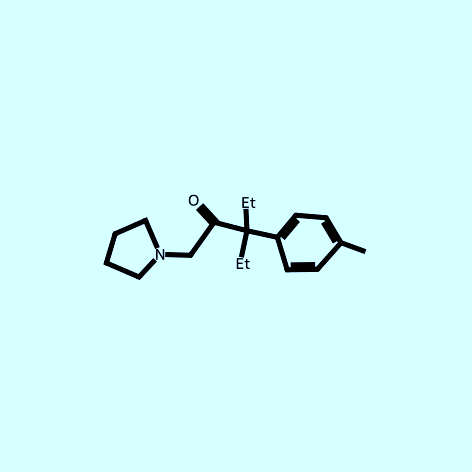 CCC(CC)(C(=O)CN1CCCC1)c1ccc(C)cc1